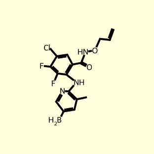 Bc1cnc(Nc2c(C(=O)NOCC=C)cc(Cl)c(F)c2F)c(C)c1